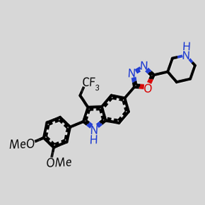 COc1ccc(-c2[nH]c3ccc(-c4nnc(C5CCCNC5)o4)cc3c2CC(F)(F)F)cc1OC